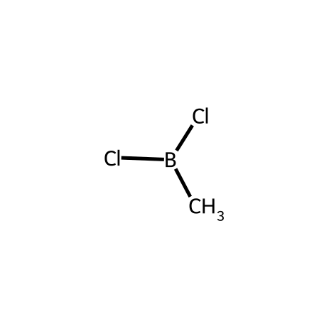 CB(Cl)Cl